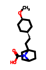 CO[C@H]1CC[C@H](CCC23CCC(CC2)N3C(=O)O)CC1